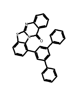 O=c1c2ccccc2nc2sc3cccc(-c4cc(-c5ccccc5)cc(-c5ccccc5)c4)c3n12